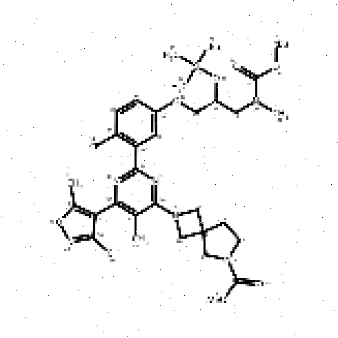 COC(=O)N1CCC2(C1)CN(c1nc(-c3cc(OC[C@H](CN(C)C(=O)OC(C)(C)C)O[Si](C)(C)C(C)(C)C)ccc3Cl)nc(-c3c(C)noc3C)c1C)C2